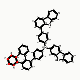 c1ccc(-c2ccccc2-c2c(-c3ccccc3)cccc2-c2ccc(N(c3ccc(-c4cccc5c4oc4ccccc45)cc3)c3ccc4c(c3)oc3ccccc34)cc2)cc1